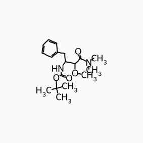 COC(C(=O)N(C)C)C(Cc1ccccc1)NC(=O)OC(C)(C)C